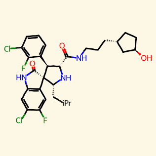 CC(C)C[C@H]1N[C@@H](C(=O)NCCC[C@@H]2CC[C@@H](O)C2)[C@H](c2cccc(Cl)c2F)[C@@]12C(=O)Nc1cc(Cl)c(F)cc12